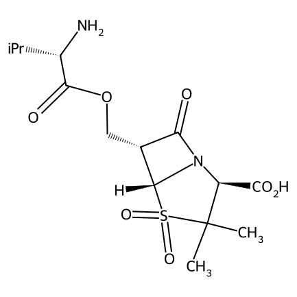 CC(C)[C@H](N)C(=O)OC[C@@H]1C(=O)N2[C@@H](C(=O)O)C(C)(C)S(=O)(=O)[C@H]12